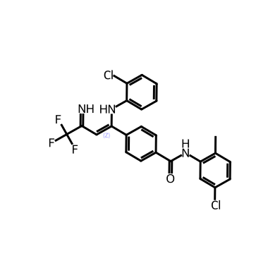 Cc1ccc(Cl)cc1NC(=O)c1ccc(/C(=C/C(=N)C(F)(F)F)Nc2ccccc2Cl)cc1